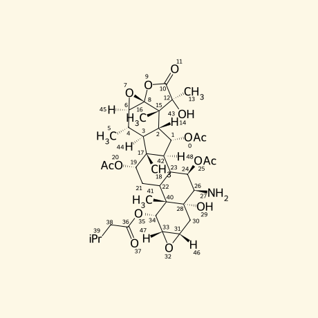 CC(=O)O[C@H]1[C@@H]2[C@H]([C@H](C)[C@H]3O[C@]34OC(=O)[C@@](C)(O)[C@]24C)[C@@]2(C)[C@@H](OC(C)=O)CC3C([C@@H](OC(C)=O)[C@@H](N)[C@@]4(O)C[C@@H]5O[C@@H]5[C@H](OC(=O)CC(C)C)[C@]34C)[C@H]12